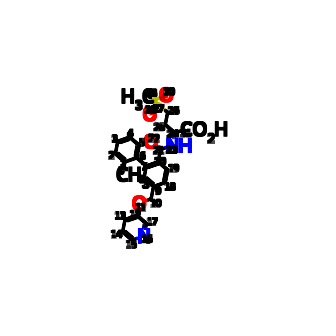 Cc1ccccc1-c1cc(COc2cccnc2)ccc1C(=O)NC(CCS(C)(=O)=O)C(=O)O